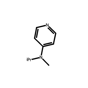 CC(C)N(C)c1ccncc1